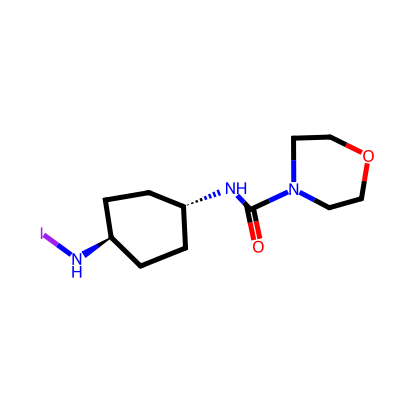 O=C(N[C@H]1CC[C@H](NI)CC1)N1CCOCC1